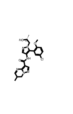 COc1ccc(Cl)cc1-c1c(NC(=O)c2cnn3c2N=CC(C)C3)cnn1C[C@@H](C)O